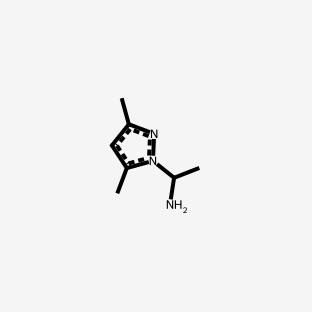 Cc1cc(C)n(C(C)N)n1